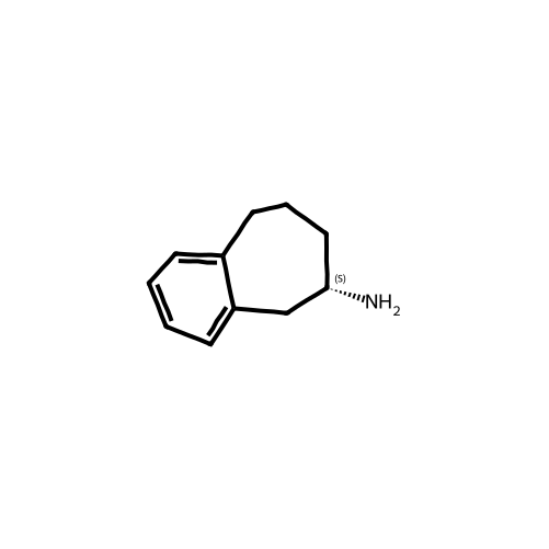 N[C@H]1CCCc2ccccc2C1